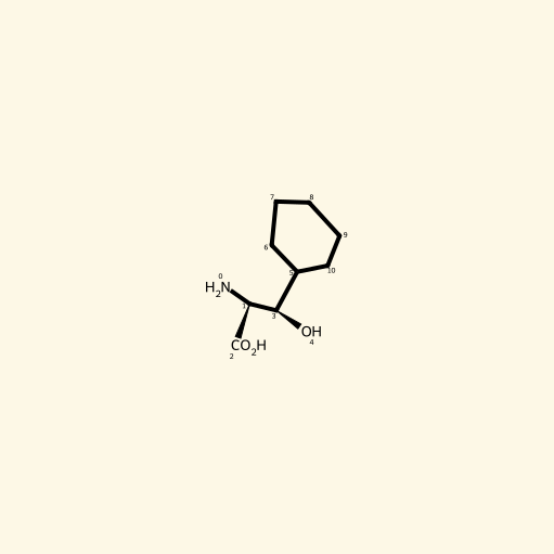 N[C@H](C(=O)O)[C@H](O)C1CCCCC1